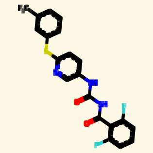 O=C(NC(=O)c1c(F)cccc1F)Nc1ccc(Sc2cccc(C(F)(F)F)c2)nc1